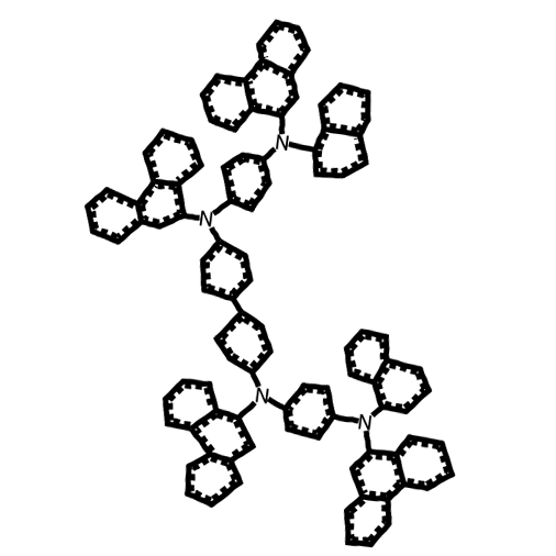 c1ccc2c(N(c3ccc(N(c4ccc(-c5ccc(N(c6ccc(N(c7cccc8ccccc78)c7cc8ccccc8c8ccccc78)cc6)c6cc7ccccc7c7ccccc67)cc5)cc4)c4cc5ccccc5c5ccccc45)cc3)c3cc4ccccc4c4ccccc34)cccc2c1